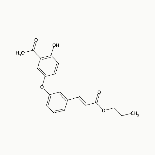 CCCOC(=O)C=Cc1cccc(Oc2ccc(O)c(C(C)=O)c2)c1